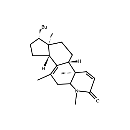 CCC(C)[C@H]1CC[C@H]2C3=C(C)CC4N(C)C(=O)C=C[C@]4(C)[C@H]3CC[C@]12C